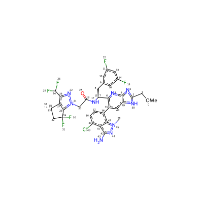 COCc1nc2nc([C@H](Cc3cc(F)cc(F)c3)NC(=O)Cn3nc(C(F)F)c4c3C(F)(F)C[C@@H]4C)c(-c3ccc(Cl)c4c(N)nn(C)c34)cc2[nH]1